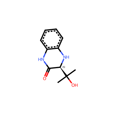 CC(C)(O)[C@@H]1Nc2ccccc2NC1=O